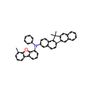 Cc1cccc2c1oc1c(N(c3ccccc3)c3ccc4c5c(ccc4c3)-c3cc4ccccc4cc3C5(C)C)cccc12